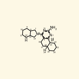 Nc1nc2c(c(N3CC4CCCNC4C3)n1)CC[C@H]1CCCC[C@H]21